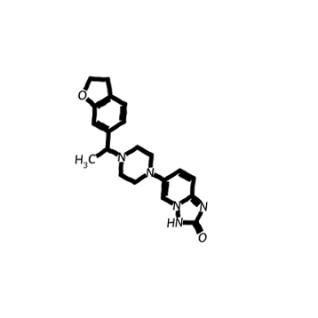 CC(c1ccc2c(c1)OCC2)N1CCN(c2ccc3nc(=O)[nH]n3c2)CC1